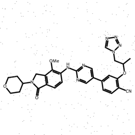 COc1c(Nc2ncc(-c3ccc(C#N)c(OC(C)Cn4cnnn4)c3)cn2)ccc2c1CN(C1CCOCC1)C2=O